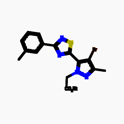 CCOC(=O)Cn1nc(C)c(Br)c1-c1nc(-c2cccc(C)c2)ns1